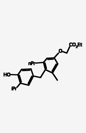 CCCc1cc(OCC(=O)OCC)cc(C)c1Cc1ccc(O)c(C(C)C)c1